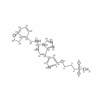 CS(=O)(=O)CCCOc1cncc(-c2cnc(NCc3cccc4c3CCO4)n3cnnc23)c1